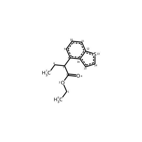 CCOC(=O)C(CC)c1cccc2sccc12